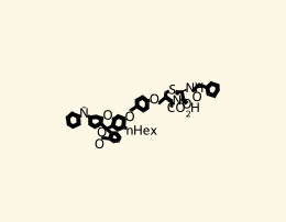 CCCCCCc1cc2c(cc1OCc1ccc(OCC3=C(C(=O)O)N4C(=O)[C@H](NC(=O)Cc5ccccc5)C4SC3)cc1)Oc1cc(N(C)c3ccccc3)ccc1C21OC(=O)c2ccccc21